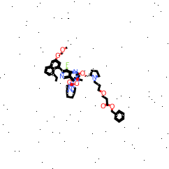 CCc1cccc2cc(OCOC)cc(-c3ncc4c(N5CC6CCC(C5)N6C(=O)OC(C)(C)C)nc(OC[C@@H]5CCCN5CCCOCCC(=O)OCc5ccccc5)nc4c3F)c12